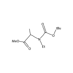 CCN(C(=O)OC(C)(C)C)C(C)C(=O)OC